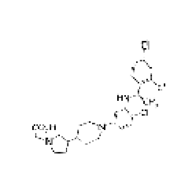 C[C@@H](Nc1cc(N2CCC(C3CCN(CC(=O)O)C3)CC2)ccc1Cl)c1ccc(Cl)cc1Cl